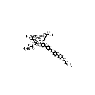 C=C(C)C(=O)OCCCc1cc(-c2ccc(CCc3ccc(C4CCC(CCCCC)CC4)cc3)cc2)ccc1OCC(COC(=O)C(=C)C)(COC(=O)C(=O)OC)COC(=O)C(=O)OC